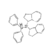 C1=CC2CC[CH]([Zr]([CH]3CCC4C=CC=CC43)[SiH](c3ccccc3)c3ccccc3)C2C=C1